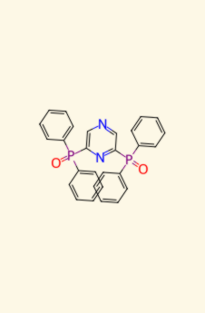 O=P(c1ccccc1)(c1ccccc1)c1cncc(P(=O)(c2ccccc2)c2ccccc2)n1